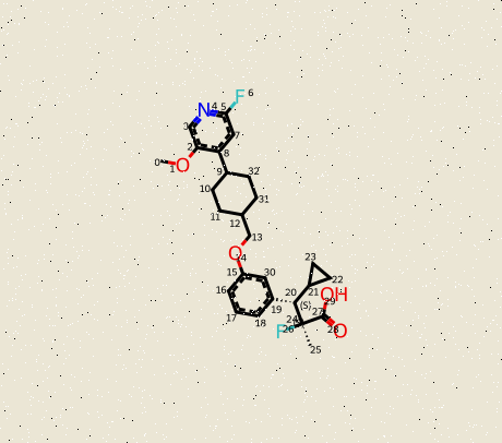 COc1cnc(F)cc1C1CCC(COc2cccc([C@H](C3CC3)[C@](C)(F)C(=O)O)c2)CC1